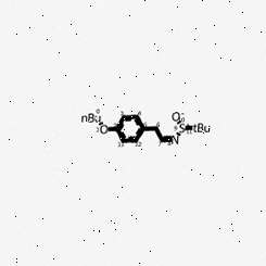 CCCCOc1ccc(C/C=N\[S+]([O-])C(C)(C)C)cc1